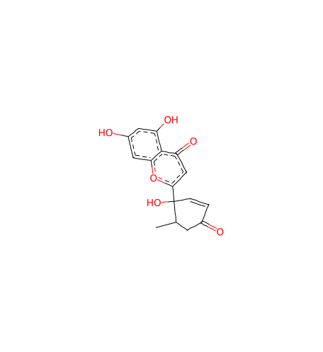 CC1CC(=O)C=CC1(O)c1cc(=O)c2c(O)cc(O)cc2o1